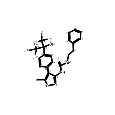 Cc1onc(NC(=O)NCCc2ccccc2)c1-c1ccc(C(O)(C(F)(F)F)C(F)(F)F)cc1